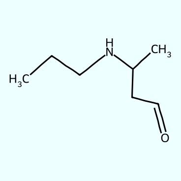 CCCNC(C)CC=O